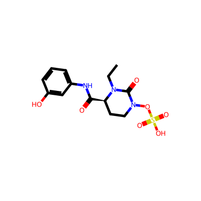 CCN1C(=O)N(OS(=O)(=O)O)CC[C@H]1C(=O)Nc1cccc(O)c1